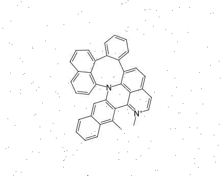 Cc1c2c(cc3ccccc13)N1c3cccc4cccc(c34)-c3ccccc3-c3ccc4cc[n+](C)c-2c4c31